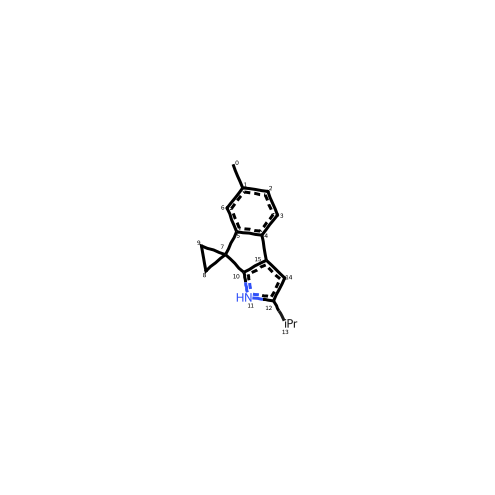 Cc1ccc2c(c1)C1(CC1)c1[nH]c(C(C)C)cc1-2